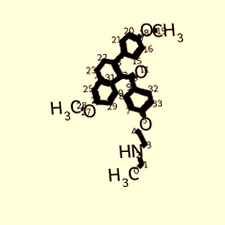 CCNCCOc1ccc(C(=O)C2=C(c3ccc(OC)cc3)CCc3cc(OC)ccc32)cc1